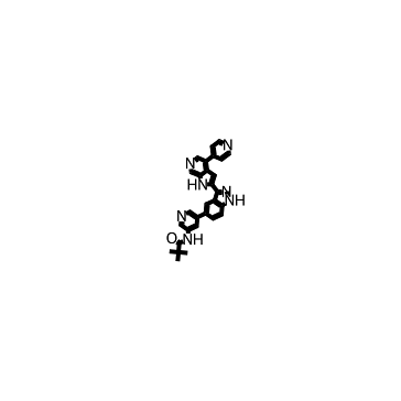 CC(C)(C)C(=O)Nc1cncc(-c2ccc3[nH]nc(-c4cc5c(-c6ccncc6)cncc5[nH]4)c3c2)c1